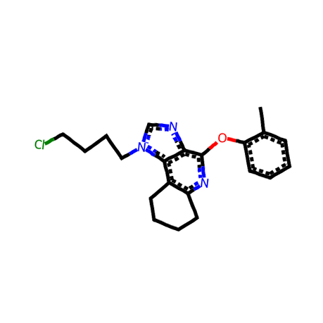 Cc1ccccc1Oc1nc2c(c3c1ncn3CCCCCl)CCCC2